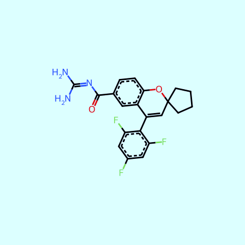 NC(N)=NC(=O)c1ccc2c(c1)C(c1c(F)cc(F)cc1F)=CC1(CCCC1)O2